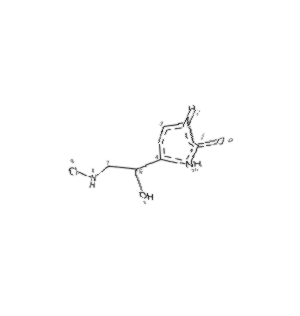 O=c1[nH]cc(C(O)CNCl)[nH]1